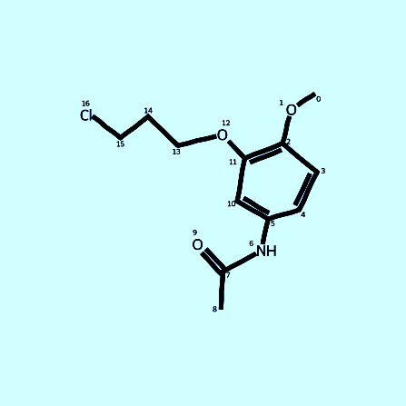 COc1ccc(NC(C)=O)cc1OCCCCl